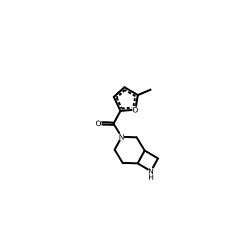 Cc1ccc(C(=O)N2CCC3NCC3C2)o1